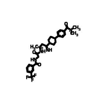 C[C@H](CC(=N)C1CCC(c2ccc(C(=O)N(C)C)cc2)CC1)NC(=O)CNC(=O)c1cccc(C(F)(F)F)c1